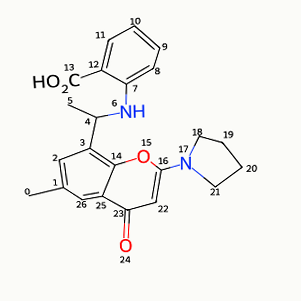 Cc1cc(C(C)Nc2ccccc2C(=O)O)c2oc(N3CCCC3)cc(=O)c2c1